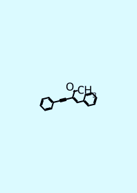 CC(=O)C(C#Cc1ccccc1)=Cc1ccccc1